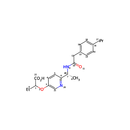 CCC(Oc1ccc([C@@H](C)NC(=O)Cc2ccc(C(C)C)cc2)nc1)C(=O)O